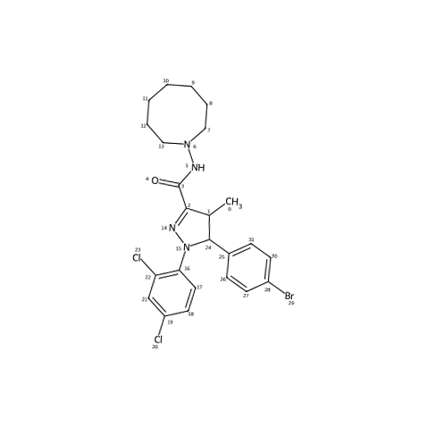 CC1C(C(=O)NN2CCCCCCC2)=NN(c2ccc(Cl)cc2Cl)C1c1ccc(Br)cc1